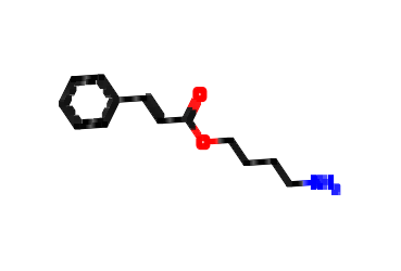 NCCCCOC(=O)C=Cc1ccccc1